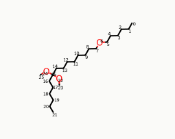 CCCCCCOCCCCCCCCC(CCCCCC)(OC)OC